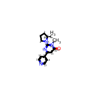 C[C@@H]1CCCN1c1nc(-c2ccncc2)cc(=O)n1C